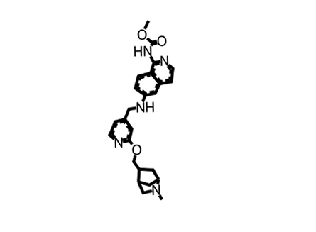 COC(=O)Nc1nccc2cc(NCc3ccnc(OCC4CC5CC4CN5C)c3)ccc12